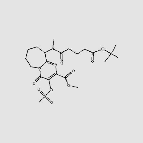 COC(=O)c1nc2n(c(=O)c1OS(C)(=O)=O)CCCCC2N(C)C(=O)CCCC(=O)OC(C)(C)C